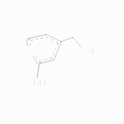 Bc1cccc(CC)c1